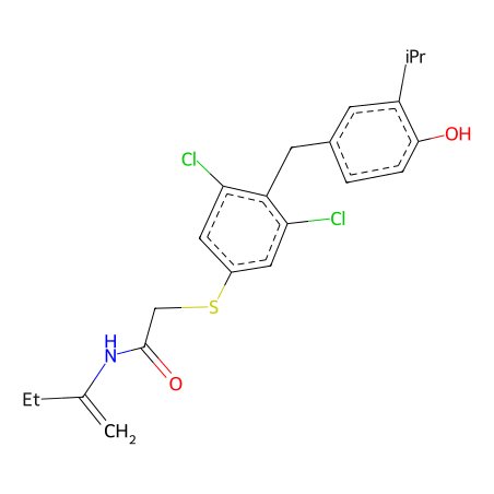 C=C(CC)NC(=O)CSc1cc(Cl)c(Cc2ccc(O)c(C(C)C)c2)c(Cl)c1